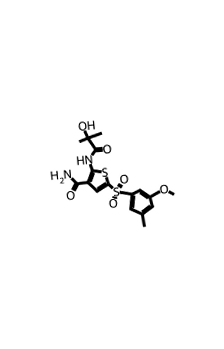 COc1cc(C)cc(S(=O)(=O)c2cc(C(N)=O)c(NC(=O)C(C)(C)O)s2)c1